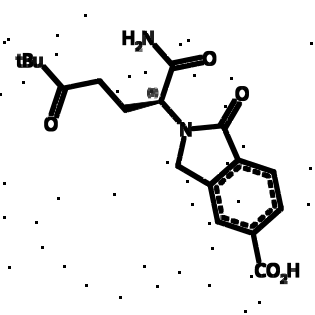 CC(C)(C)C(=O)CC[C@@H](C(N)=O)N1Cc2cc(C(=O)O)ccc2C1=O